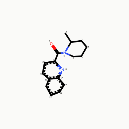 CC1CCCCN1C(=O)c1ccc2ccccc2n1